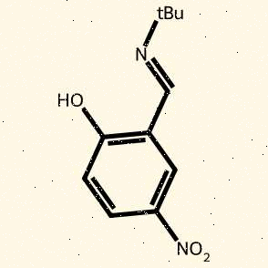 CC(C)(C)/N=C/c1cc([N+](=O)[O-])ccc1O